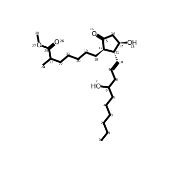 CCCCCCC(O)C/C=C/[C@H]1[C@H](O)CC(=O)[C@@H]1CCCCCC(C)C(=O)OC